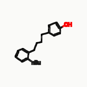 CCCCc1ccccc1CCCCc1ccc(O)cc1